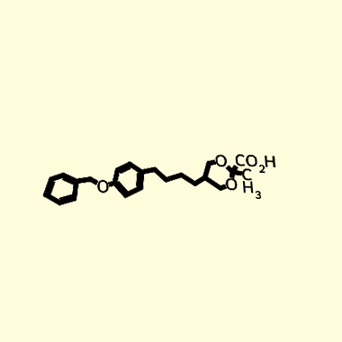 CC1(C(=O)O)OCC(CCCCc2ccc(OCc3ccccc3)cc2)CO1